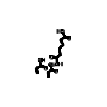 C=CC(=O)O.C=CC(=O)O.O=C(O)CCCCC(=O)O